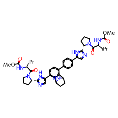 COC(=O)N[C@H](C(=O)N1CCC[C@H]1c1ncc(-c2ccc(-c3ccc(-c4cnc([C@@H]5CCCN5C(=O)[C@@H](NC(=O)OC)C(C)C)[nH]4)c4c3C3CCC4N3)cc2)[nH]1)C(C)C